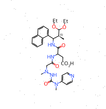 CCOC(OCC)[C@@H](C)C(NC(=O)C(CC(=O)O)NC(=O)CN(C)NC(=O)N(C)c1ccncc1)c1cccc2ccccc12